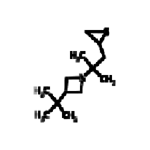 CC(C)(C)C1CN(C(C)(C)CC2CS2)C1